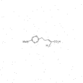 CNc1ccc(CCC=C(C)C(=O)O)cc1